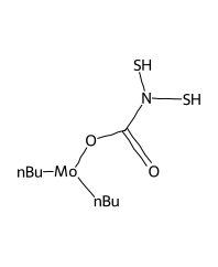 CCC[CH2][Mo]([CH2]CCC)[O]C(=O)N(S)S